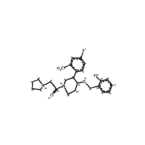 Cc1cc(F)ccc1C1CN(C(=O)CN2CCCC2)CCC1OCc1ccccc1F